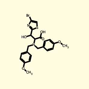 COc1ccc(CN(Cc2ccc(OC)cc2)C(C(=O)O)C(O)c2nc(Br)cs2)cc1